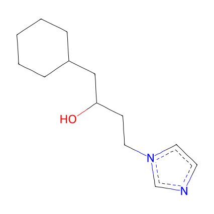 OC(CCn1ccnc1)CC1CCCCC1